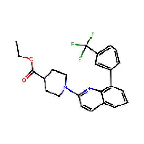 CCOC(=O)C1CCN(c2ccc3cccc(-c4cccc(C(F)(F)F)c4)c3n2)CC1